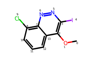 COc1c(I)nnc2c(Cl)cccc12